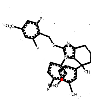 COc1ccc(C2(C)CCCc3nc(SCc4c(F)cc(C(=O)O)cc4F)n(-c4ccc(F)cc4)c32)cc1C